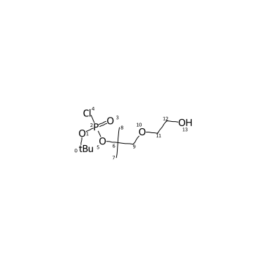 CC(C)(C)OP(=O)(Cl)OC(C)(C)COCCO